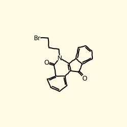 O=C1c2ccccc2-c2c1c1ccccc1c(=O)n2CCCBr